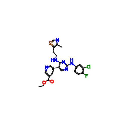 CCOC(=O)c1cncc(-c2cnc(Nc3ccc(F)c(Cl)c3)nc2NCCc2scnc2C)c1